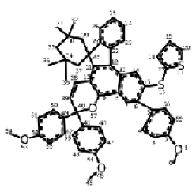 COc1ccc(-c2cc3c4c(c5c(c3cc2Sc2cccs2)-c2ccccc2C52CC(C)(C)CC(C)(C)C2)C=CC(c2ccc(OC)cc2)(c2ccc(OC)cc2)O4)cc1